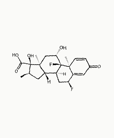 C[C@@H]1C[C@H]2[C@@H]3C[C@H](F)C4=CC(=O)C=C[C@]4(C)[C@@]3(F)[C@@H](O)C[C@]2(C)[C@@]1(O)C(=O)O